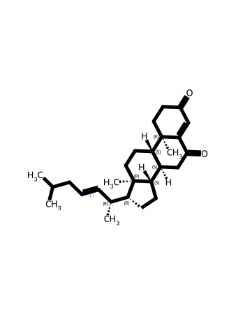 CC(C)C/C=C/[C@@H](C)[C@H]1CC[C@H]2[C@@H]3CC(=O)C4=CC(=O)CC[C@]4(C)[C@H]3CC[C@]12C